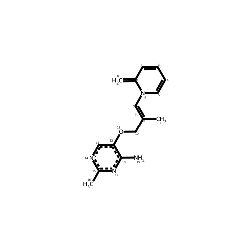 C=C1C=CC=CN1/C=C(\C)COc1cnc(C)nc1N